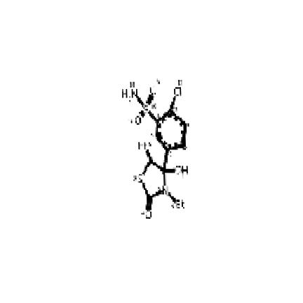 CCC1SC(=O)N(CC)C1(O)c1ccc(Cl)c(S(N)(=O)=O)c1